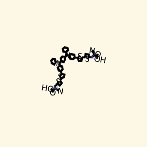 N#C/C(=C\c1ccc(C2=CCC(c3ccc(N(c4ccccc4)c4ccc(N(c5ccccc5)c5ccc(C6CC=C(c7ccc(/C=C(\C#N)C(=O)O)s7)S6)cc5)cc4)cc3)S2)s1)C(=O)O